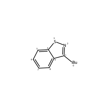 CCC(C)c1nsc2ccccc12